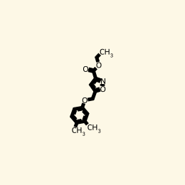 CCOC(=O)c1cc(COc2ccc(C)c(C)c2)on1